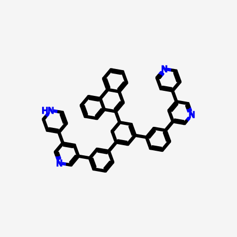 C1=CC(c2cncc(-c3cccc(C4=CC(c5cccc(-c6cncc(-c7ccncc7)c6)c5)=CC(c5cc6ccccc6c6ccccc56)C4)c3)c2)=CCN1